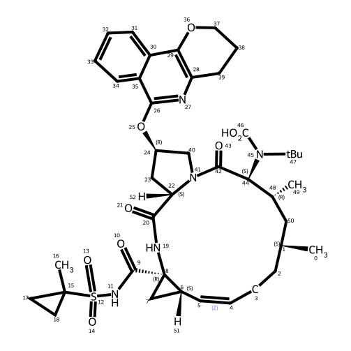 C[C@H]1CC/C=C\[C@@H]2C[C@@]2(C(=O)NS(=O)(=O)C2(C)CC2)NC(=O)[C@@H]2C[C@@H](Oc3nc4c(c5ccccc35)OCCC4)CN2C(=O)[C@@H](N(C(=O)O)C(C)(C)C)[C@H](C)C1